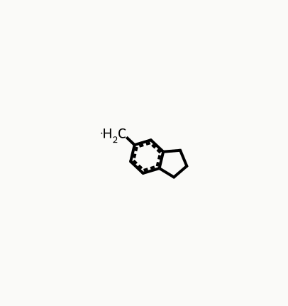 [CH2]c1ccc2c(c1)CCC2